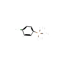 CS(C)(C)c1ccc(F)cc1